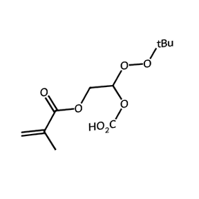 C=C(C)C(=O)OCC(OOC(C)(C)C)OC(=O)O